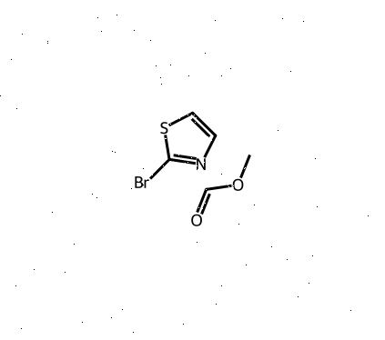 Brc1nccs1.COC=O